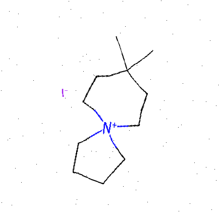 CC1(C)CC[N+]2(CCCC2)CC1.[I-]